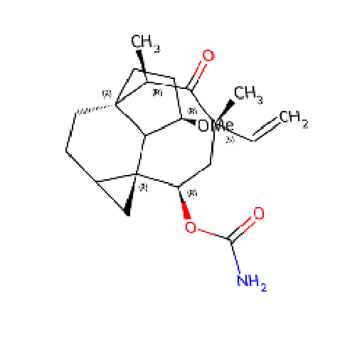 C=C[C@]1(C)C[C@@H](OC(N)=O)[C@]23CC2CC[C@]2(CC[C@@H](OC)C23)[C@@H](C)C1=O